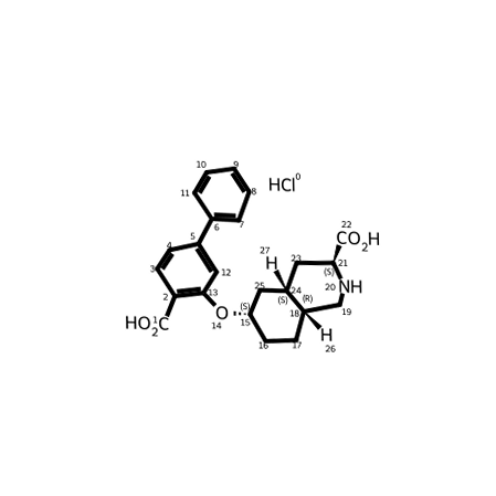 Cl.O=C(O)c1ccc(-c2ccccc2)cc1O[C@H]1CC[C@H]2CN[C@H](C(=O)O)C[C@H]2C1